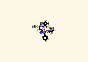 CCCC[C@@H](C(=O)C(=O)N[C@H](C)c1ccccc1)N(CC1(CSc2nccn2C)CCC1)C(=O)O